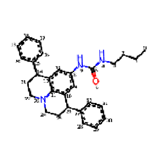 CCCCNC(=O)Nc1cc2c3c(c1)C(c1ccccc1)CCN3CCC2c1ccccc1